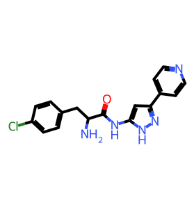 NC(Cc1ccc(Cl)cc1)C(=O)Nc1cc(-c2ccncc2)n[nH]1